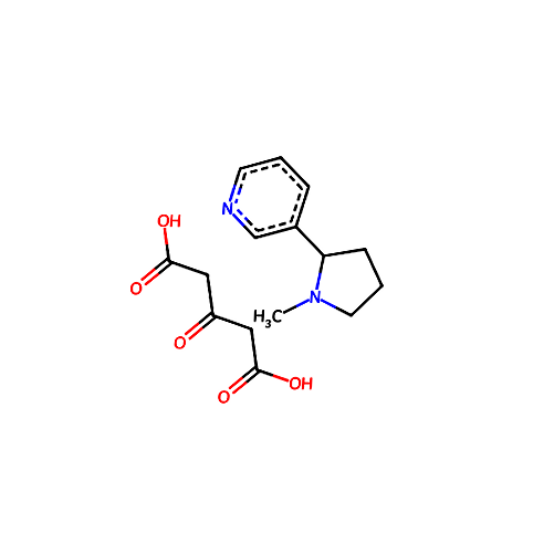 CN1CCCC1c1cccnc1.O=C(O)CC(=O)CC(=O)O